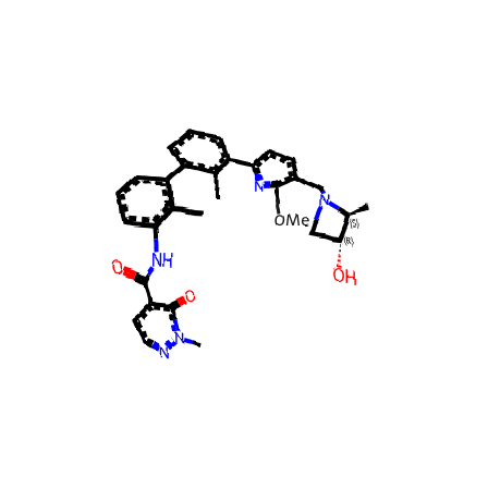 COc1nc(-c2cccc(-c3cccc(NC(=O)c4ccnn(C)c4=O)c3C)c2C)ccc1CN1C[C@@H](O)[C@@H]1C